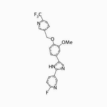 COc1cc(-c2cnc(-c3ccc(F)nc3)[nH]2)ccc1OCc1ccc(C(F)(F)F)nc1